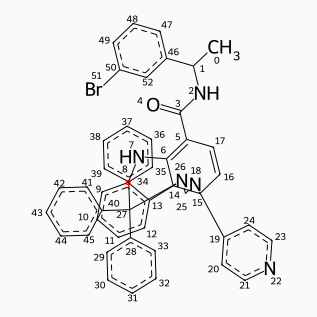 CC(NC(=O)C1=C2Nc3ccccc3C23C(C=C1)N(c1ccncc1)CN3C(c1ccccc1)(c1ccccc1)c1ccccc1)c1cccc(Br)c1